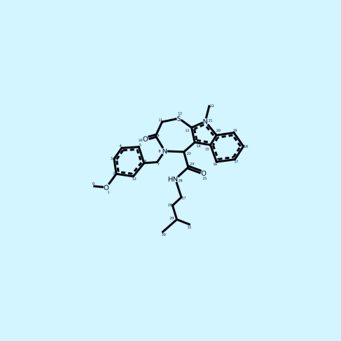 COc1cccc(CN2C(=O)CSc3c(c4ccccc4n3C)C2C(=O)NCCC(C)C)c1